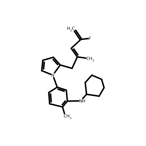 C=C(F)/C=C(\C)Cc1cccn1-c1ccc(C)c(NC2CCCCC2)c1